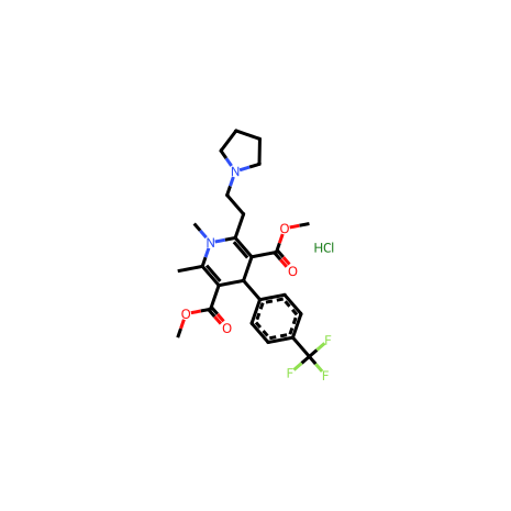 COC(=O)C1=C(C)N(C)C(CCN2CCCC2)=C(C(=O)OC)C1c1ccc(C(F)(F)F)cc1.Cl